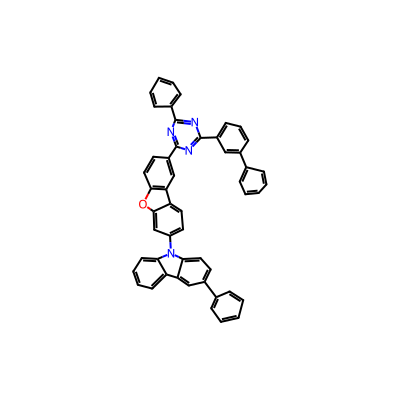 c1ccc(-c2cccc(-c3nc(-c4ccccc4)nc(-c4ccc5oc6cc(-n7c8ccccc8c8cc(-c9ccccc9)ccc87)ccc6c5c4)n3)c2)cc1